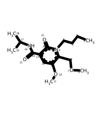 CCCCn1c(COC)c(OC)cc(C(=O)NC(C)C)c1=O